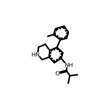 Cc1ccccc1-c1cc(NC(=O)C(C)C)cc2c1CCNC2